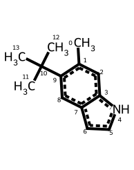 Cc1cc2[nH]ccc2cc1C(C)(C)C